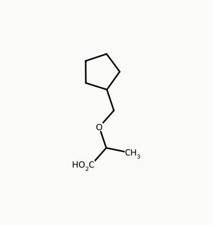 CC(OCC1CCCC1)C(=O)O